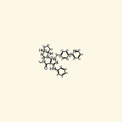 CN1C(=O)c2c(Nc3ccccc3)nn(Cc3ccc(-c4ccccn4)cc3)c2N2C1=N[C@@H]1CCC[C@@H]12